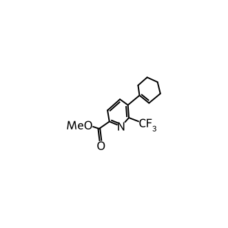 COC(=O)c1ccc(C2=CCCCC2)c(C(F)(F)F)n1